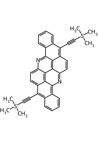 CS(C)(C)C#Cc1c2ccccc2c2nc3ccc4c(C#CS(C)(C)C)c5ccccc5c5nc6ccc1c2c6c3c45